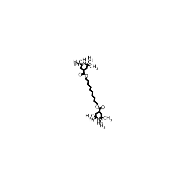 CC(C)C1(C)CC(C(=O)OCCCCCCCCCCOC(=O)C2CC(C)(C)NC(C)(C(C)C)C2)CC(C)(C)N1